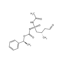 CC(=O)NS(=O)(C[C@@H](C)CC=O)=NC(=O)O[C@@H](C)c1ccccc1